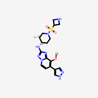 CCOc1c(-c2cn[nH]c2)ccn2nc(N[C@H]3CCN(S(=O)(=O)C4CNC4)C[C@H]3C)nc12